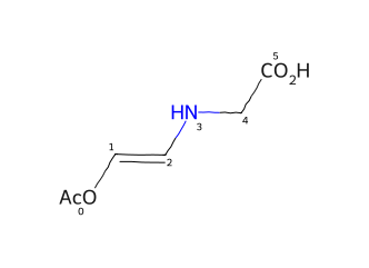 CC(=O)OC=CNCC(=O)O